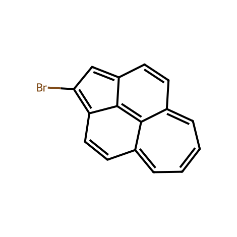 Brc1cc2ccc3ccccc4ccc1c2c34